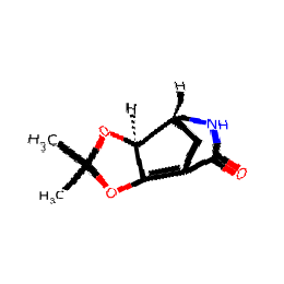 CC1(C)OC2=C3C[C@@H](NC3=O)[C@@H]2O1